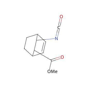 COC(=O)C1C2C=CC(CC2)C1N=C=O